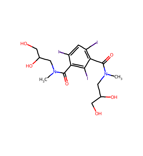 CN(CC(O)CO)C(=O)c1c(I)cc(I)c(C(=O)N(C)CC(O)CO)c1I